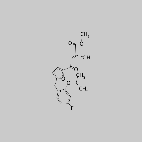 COC(=O)C(O)=CC(=O)c1ccc(Cc2ccc(F)cc2OC(C)C)o1